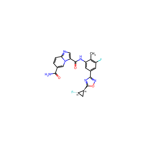 Cc1c(F)cc(-c2noc([C@H]3C[C@@H]3F)n2)cc1NC(=O)c1cnc2ccc(C(N)=O)cn12